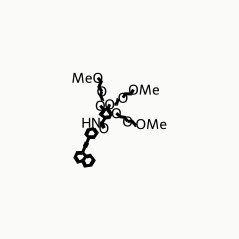 COCCOCCOc1cc(C(=O)Nc2ccc(C#Cc3cccc4ccccc34)cc2)cc(OCCOCCOC)c1OCCOCCOC